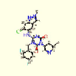 Cc1cncc(-n2c(=O)nc(Nc3cc4cn(C)nc4cc3Cl)n(Cc3ccc(F)cc3F)c2=O)c1